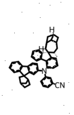 C[C@H]1CC2C[C@@H]3C[C@H](CC23)[C@@]12c1ccccc1-c1c(N(c3cccc(C#N)c3)c3ccc4c(c3)C3(CC5CCC3C5)c3ccccc3-4)cccc12